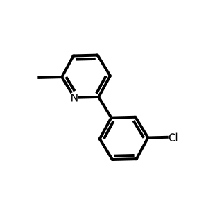 Cc1cccc(-c2cccc(Cl)c2)n1